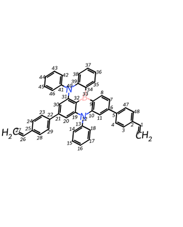 C=Cc1ccc(-c2ccc3c(c2)N(c2ccccc2)c2cc(-c4ccc(C=C)cc4)cc4c2B3c2ccccc2N4c2ccccc2)cc1